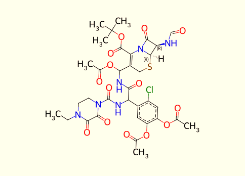 CCN1CCN(C(=O)NC(C(=O)NC(OC(C)=O)C2=C(C(=O)OC(C)(C)C)N3C(=O)[C@@H](NC=O)[C@H]3SC2)c2cc(OC(C)=O)c(OC(C)=O)cc2Cl)C(=O)C1=O